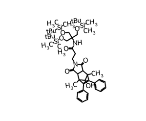 CC12C(c3ccccc3)=C(c3ccccc3)C(C)(C3C(=O)N(CCC(=O)NC(CO[Si](C)(C)C(C)(C)C)(CO[Si](C)(C)C(C)(C)C)CO[Si](C)(C)C(C)(C)C)C(=O)C31)C2O